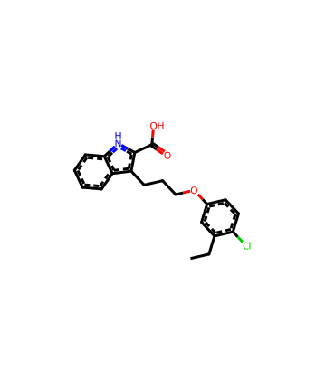 CCc1cc(OCCCc2c(C(=O)O)[nH]c3ccccc23)ccc1Cl